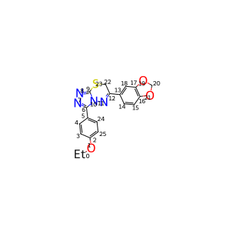 CCOc1ccc(-c2nnc3n2N=C(c2ccc4c(c2)OCO4)CS3)cc1